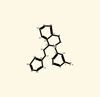 Fc1cccc(N2CCc3ccccc3C2CCc2ccccc2)c1